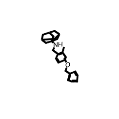 Cc1cc(OCc2ccccc2)ccc1CNC12CC3CC(CC(C3)C1)C2